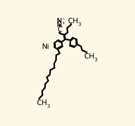 CCCCCCCCCCCCCCCc1cccc(C(=C(C=C=[N+]=[N-])CCCC)c2ccc(CCCC)cc2)c1.[Ni]